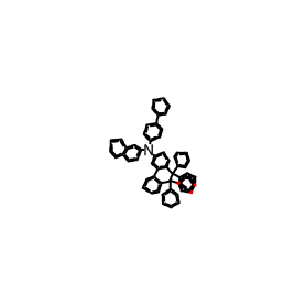 c1ccc(-c2ccc(N(c3ccc4c(c3)-c3ccccc3C(c3ccccc3)(c3ccccc3)C4(c3ccccc3)c3ccccc3)c3ccc4ccccc4c3)cc2)cc1